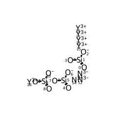 O=[Si]([O-])[O-].O=[Si]([O-])[O-].O=[Si]([O-])[O-].[N-3].[N-3].[N-3].[Y+3].[Y+3].[Y+3].[Y+3].[Y+3]